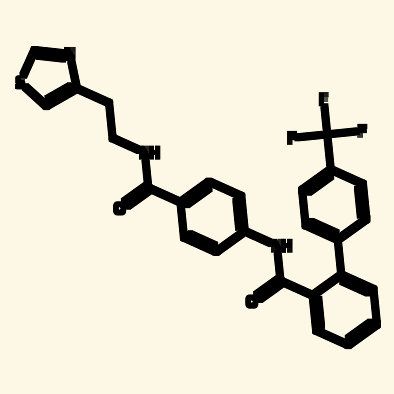 O=C(NCCc1cscn1)c1ccc(NC(=O)c2ccccc2-c2ccc(C(F)(F)F)cc2)cc1